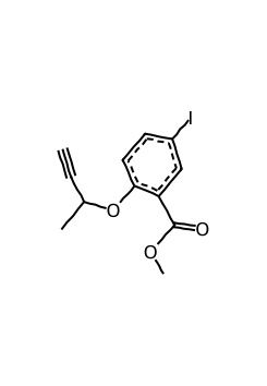 C#CC(C)Oc1ccc(I)cc1C(=O)OC